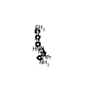 CC(C)c1cc2cnc(Nc3ccc(N4CCC(N5CCN(C)CC5)CC4)cc3)nc2n1-c1cccc(N)n1